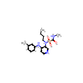 CCCCN(c1cnccc1Nc1cccc(C)c1)S(=O)(=O)C(=O)NC